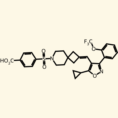 O=C(O)c1ccc(S(=O)(=O)N2CCC3(CC2)CC(=Cc2c(-c4ccccc4OC(F)(F)F)noc2C2CC2)C3)cc1